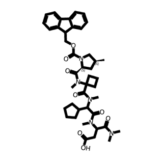 C[C@H]1C[C@@H](C(=O)N(C)C2(C(=O)N(C)C(C(=O)N(C)C(CC(=O)O)C(=O)N(C)C)C3CCCC3)CCC2)N(C(=O)OCC2c3ccccc3-c3ccccc32)C1